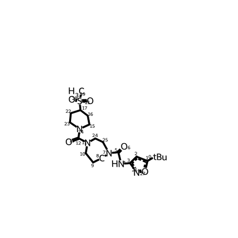 CC(C)(C)c1cc(NC(=O)N2CCCN(C(=O)N3CCC(S(C)(=O)=O)CC3)CC2)no1